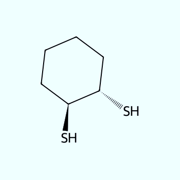 S[C@H]1CCCC[C@@H]1S